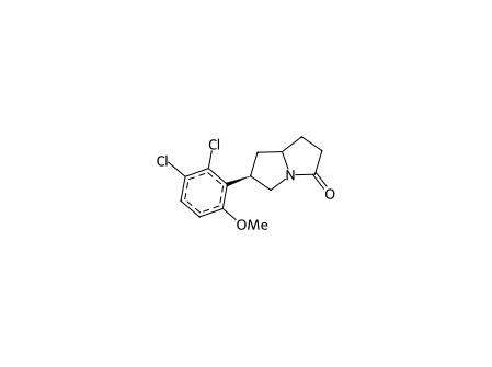 COc1ccc(Cl)c(Cl)c1[C@H]1CC2CCC(=O)N2C1